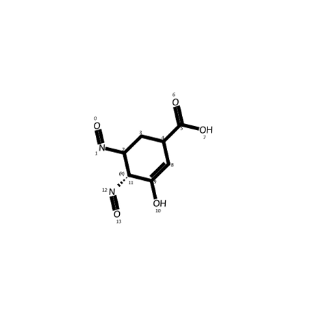 O=NC1CC(C(=O)O)C=C(O)[C@@H]1N=O